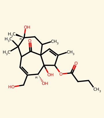 CCCC(=O)OC1C(C)=CC23C(=O)C(C=C(CO)[C@@H](O)C12O)C(C)(C)[C@](C)(O)CC3C